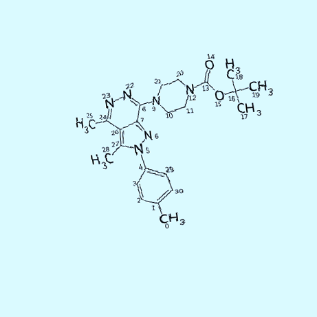 Cc1ccc(-n2nc3c(N4CCN(C(=O)OC(C)(C)C)CC4)nnc(C)c3c2C)cc1